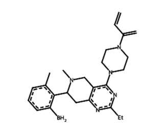 Bc1cccc(C)c1C1Cc2nc(CC)nc(N3CCN(C(=C)C=C)CC3)c2CN1C